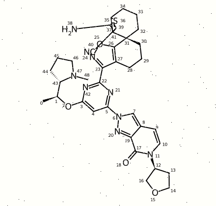 C[C@H](Oc1cc(-n2cc3ccn([C@H]4CCOC4)c(=O)c3n2)nc(-c2noc3c2CCC[C@@]32CCCc3sc(N)c(C#N)c32)n1)[C@@H]1CCCN1C